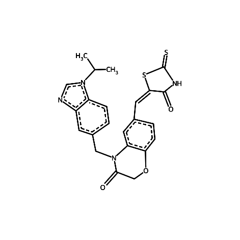 CC(C)n1cnc2cc(CN3C(=O)COc4ccc(/C=C5/SC(=S)NC5=O)cc43)ccc21